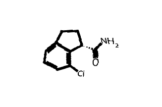 NC(=O)[C@H]1CCc2cccc(Cl)c21